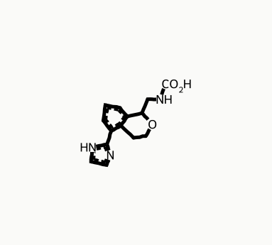 O=C(O)NCC1OCCc2c(-c3ncc[nH]3)cccc21